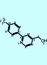 OCc1ccnc(-c2ccc(C(F)(F)F)cc2)c1